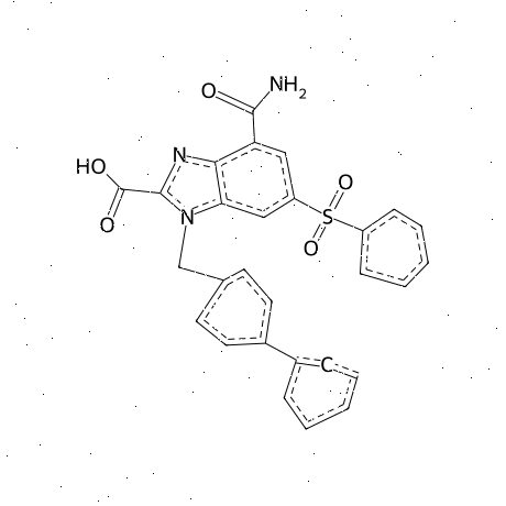 NC(=O)c1cc(S(=O)(=O)c2ccccc2)cc2c1nc(C(=O)O)n2Cc1ccc(-c2ccccc2)cc1